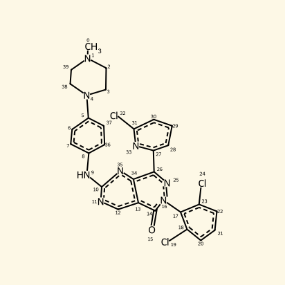 CN1CCN(c2ccc(Nc3ncc4c(=O)n(-c5c(Cl)cccc5Cl)nc(-c5cccc(Cl)n5)c4n3)cc2)CC1